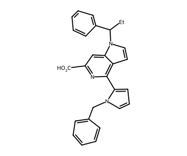 CCC(c1ccccc1)n1ccc2c(-c3cccn3Cc3ccccc3)nc(C(=O)O)cc21